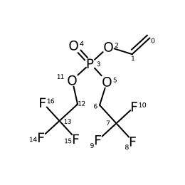 C=COP(=O)(OCC(F)(F)F)OCC(F)(F)F